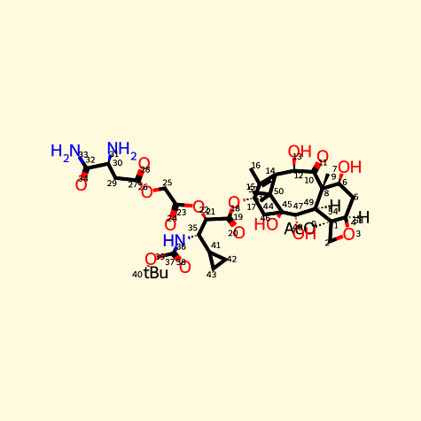 CC(=O)O[C@@]12CO[C@@H]1C[C@H](O)[C@@]1(C)C(=O)[C@H](O)C3=C(C)[C@@H](OC(=O)[C@H](OC(=O)COC(=O)C[C@H](N)C(N)=O)[C@@H](NC(=O)OC(C)(C)C)C4CC4)C[C@@](O)([C@@H](O)[C@H]21)C3(C)C